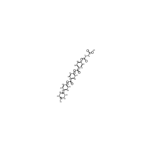 COC(=O)CCC(=O)Oc1ccc(C(=O)Oc2ccc(C(=O)Oc3ccc(N4CCN(C)CC4)cc3)cc2)cc1